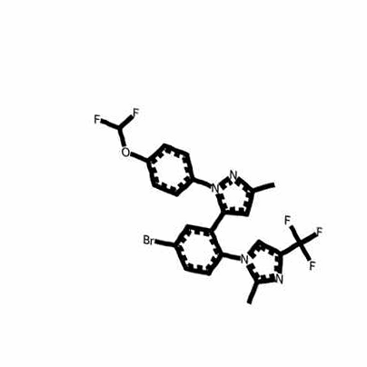 Cc1cc(-c2cc(Br)ccc2-n2cc(C(F)(F)F)nc2C)n(-c2ccc(OC(F)F)cc2)n1